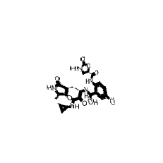 C[C@@H]1C[C@@H](C[C@H](NC(O)c2cc(Cl)ccc2NC(=O)[C@@H]2CNC(=O)O2)C(=O)C(=O)NC2CC2)C(=O)N1